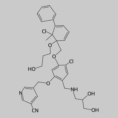 CC1(Cl)C(c2ccccc2)=CC=CC1(COc1cc(OCc2cncc(C#N)c2)c(CNCC(O)CO)cc1Cl)OCCCO